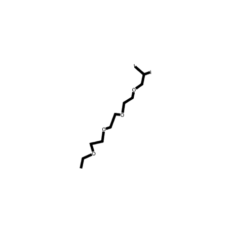 CCOCCOCCOCCOCC(I)I